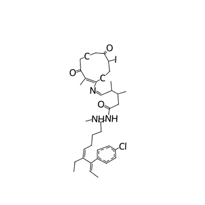 C/C=C(/C(=C\CCCC(NC)NC(=O)CC(C)C(C)/C=N\C1=C(/C)C(=O)CCCC(=O)C(I)CC1)CC)c1ccc(Cl)cc1